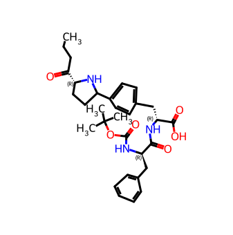 CCCC(=O)[C@H]1CCC(c2ccc(C[C@@H](NC(=O)[C@@H](Cc3ccccc3)NC(=O)OC(C)(C)C)C(=O)O)cc2)N1